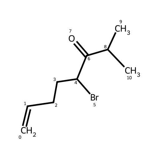 C=CCCC(Br)C(=O)C(C)C